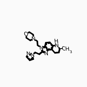 C[C@H]1CCc2c(ccc3c2nc(CCn2cccn2)n3CCN2CCOCC2)N1